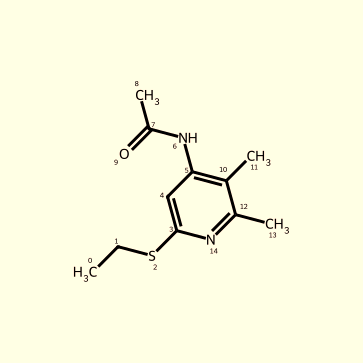 CCSc1cc(NC(C)=O)c(C)c(C)n1